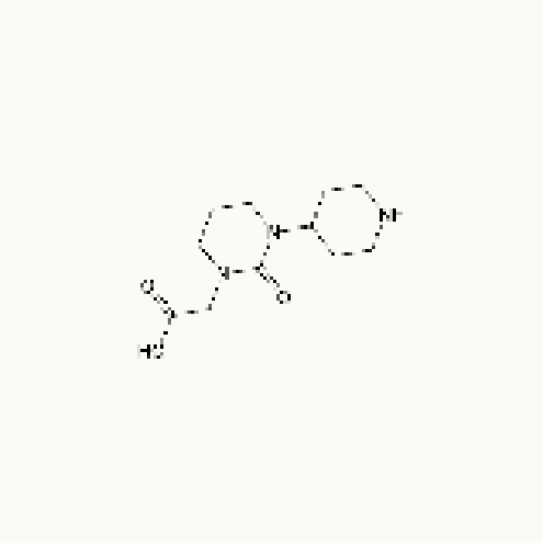 O=C(O)CN1CCCN(C2CCNCC2)C1=O